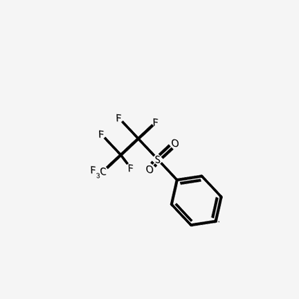 O=S(=O)(c1cc[c]cc1)C(F)(F)C(F)(F)C(F)(F)F